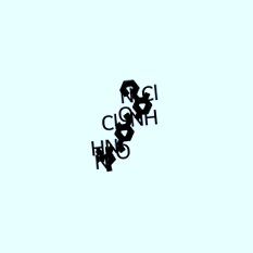 Cc1cc(NC(=O)c2ccc(C(=O)Nc3ccc(Cl)c(-c4ccccn4)c3)c(Cl)c2)n(C)n1